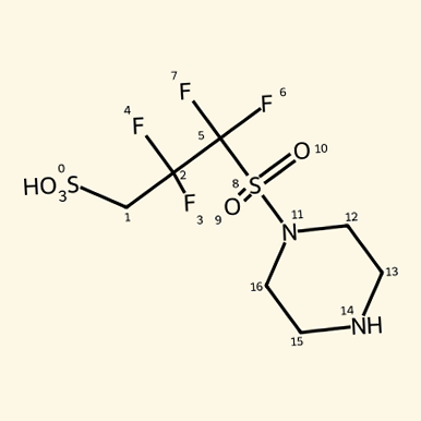 O=S(=O)(O)CC(F)(F)C(F)(F)S(=O)(=O)N1CCNCC1